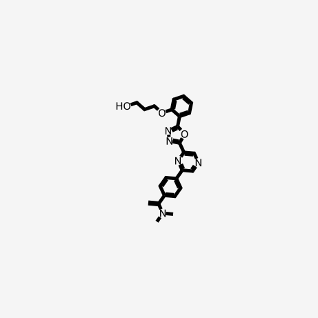 C=C(c1ccc(-c2cncc(-c3nnc(-c4ccccc4OCCCO)o3)n2)cc1)N(C)C